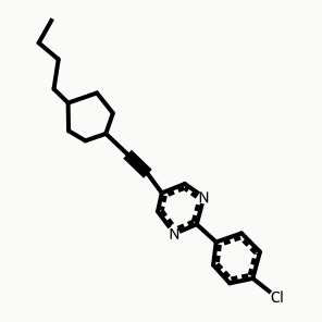 CCCCC1CCC(C#Cc2cnc(-c3ccc(Cl)cc3)nc2)CC1